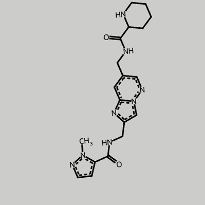 Cn1nccc1C(=O)NCc1cn2ncc(CNC(=O)C3CCCCN3)cc2n1